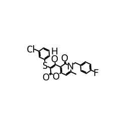 Cc1cc2oc(=O)c(Sc3cccc(Cl)c3)c(O)c2c(=O)n1Cc1ccc(F)cc1